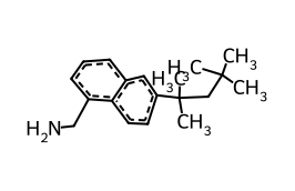 CC(C)(C)CC(C)(C)c1ccc2c(CN)cccc2c1